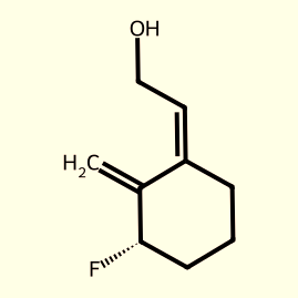 C=C1/C(=C\CO)CCC[C@@H]1F